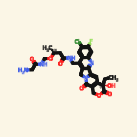 CC[C@@]1(O)C(=O)OCc2c1cc1n(c2=O)Cc2c-1nc1cc(F)c(Cl)cc1c2CNC(=O)C[C@@H](C)OCNC(=O)CN